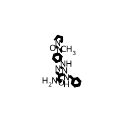 CN(C(=O)N1CCCC1)c1cccc(Nc2ncc(C(N)=O)c(NCc3ccccc3)n2)c1